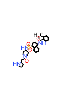 Cc1ccccc1C(=O)Nc1ccc(S(=O)(=O)NC2CCN(C(=O)CC3CCCN3)CC2)c2ccccc12